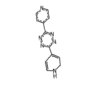 C1=CC(c2nnc(-c3ccncc3)nn2)=CCN1